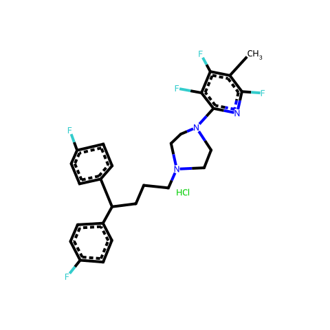 Cc1c(F)nc(N2CCN(CCCC(c3ccc(F)cc3)c3ccc(F)cc3)CC2)c(F)c1F.Cl